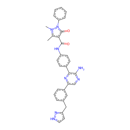 Cc1c(C(=O)Nc2ccc(-c3nc(-c4cccc(Cc5cc[nH]n5)c4)cnc3N)cc2)c(=O)n(-c2ccccc2)n1C